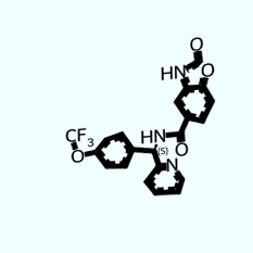 O=C(N[C@@H](c1ccc(OC(F)(F)F)cc1)c1ccccn1)c1ccc2oc(=O)[nH]c2c1